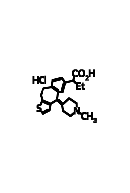 CCC(C(=O)O)c1ccc2c(c1)C(=C1CCN(C)CC1)c1ccsc1CC2.Cl